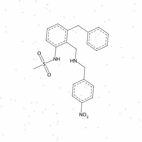 CS(=O)(=O)Nc1cccc(Cc2ccccc2)c1CNCc1ccc([N+](=O)[O-])cc1